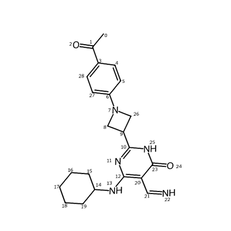 CC(=O)c1ccc(N2CC(c3nc(NC4CCCCC4)c(C=N)c(=O)[nH]3)C2)cc1